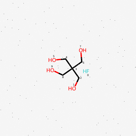 F.OCC(CO)(CO)CO